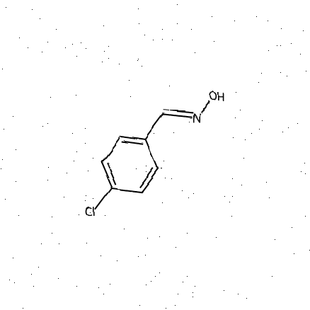 ON=Cc1[c]cc(Cl)cc1